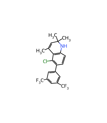 CC1=CC(C)(C)Nc2ccc(-c3cc(C(F)(F)F)cc(C(F)(F)F)c3)c(Cl)c21